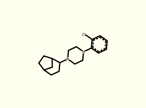 Clc1ccccc1N1CCN(C2CCC3CCC2C3)CC1